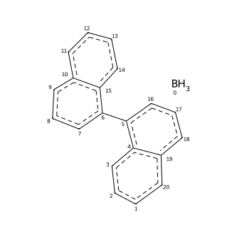 B.c1ccc2c(-c3cccc4ccccc34)cccc2c1